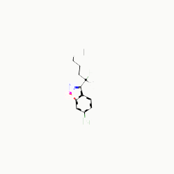 CCCCC(C)(F)c1noc2cc(Br)ccc12